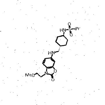 COCCn1c(=O)oc2cc(NC[C@H]3CC[C@H](NS(=O)(=O)C(C)C)CC3)ccc21